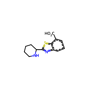 O=C(O)c1cccc2nc(C3CCCCN3)sc12